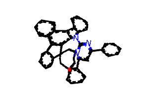 c1ccc(-c2cc(-c3ccccc3)nc(-n3c4ccccc4c4c5ccccc5c5c(c43)C3(CCCCC3)c3ccccc3-5)n2)cc1